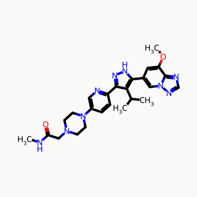 CNC(=O)CN1CCN(c2ccc(-c3n[nH]c(-c4cc(OC)c5ncnn5c4)c3C(C)C)nc2)CC1